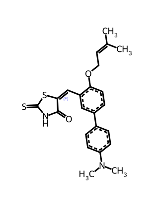 CC(C)=CCOc1ccc(-c2ccc(N(C)C)cc2)cc1/C=C1/SC(=S)NC1=O